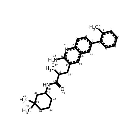 Cc1ccccc1-c1ccc2nc(N)c(CC(C)C(=O)NC3CCCC(C)(C)C3)cc2c1